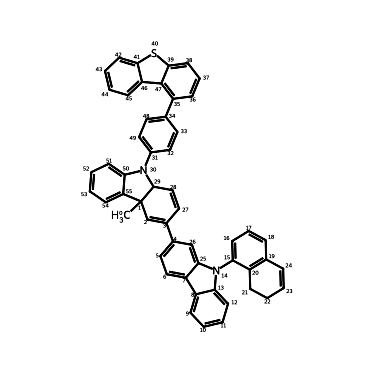 CC12C=C(c3ccc4c5ccccc5n(-c5cccc6c5CCC=C6)c4c3)C=CC1N(c1ccc(-c3cccc4sc5ccccc5c34)cc1)c1ccccc12